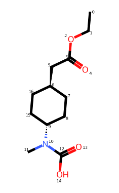 CCOC(=O)C[C@H]1CC[C@H](N(C)C(=O)O)CC1